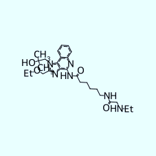 CCNCC(=O)NCCCCCC(=O)Nc1nc2ccccc2c2c1nc(COCC)n2CC(C)(C)O